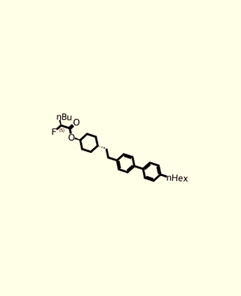 CCCCCCc1ccc(-c2ccc(CC[C@H]3CC[C@H](OC(=O)[C@@H](F)CCCC)CC3)cc2)cc1